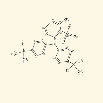 CCC(C)(C)c1ccc([I+]c2ccc(C(C)(C)CC)cc2)cc1.O=S(=O)([O-])c1ccccc1C(F)(F)F